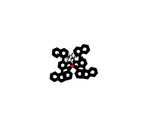 [CH3][Zr]([CH3])(=[SiH2])([CH]1C(Cc2ccccc2)=Cc2c(-c3cccc4ccccc34)ccc(-c3cccc4ccccc34)c21)[CH]1C(Cc2ccccc2)=Cc2c(-c3cccc4ccccc34)ccc(-c3cccc4ccccc34)c21